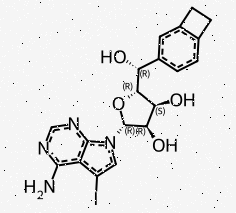 Nc1ncnc2c1c(I)cn2[C@@H]1O[C@H]([C@H](O)c2ccc3c(c2)CC3)[C@@H](O)[C@H]1O